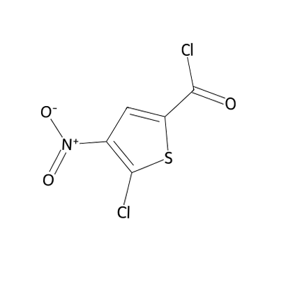 O=C(Cl)c1cc([N+](=O)[O-])c(Cl)s1